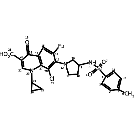 Cc1ccc(S(=O)(=O)NC2CCN(c3c(F)cc4c(=O)c(C(=O)O)cn(C5CC5)c4c3Cl)C2)cc1